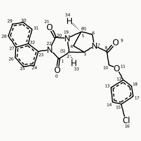 O=C1[C@@H]2C3C[C@H](CN3C(=O)COc3ccc(Cl)cc3)N2C(=O)N1c1cccc2ccccc12